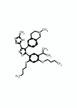 CCCCOc1cc(OCCCC)c(C(C)C)cc1-c1onc(-c2nnc(C)[nH]2)c1-c1ccc2c(c1)CCN(C)C2